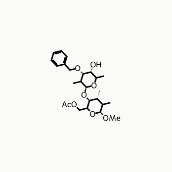 CO[C@H]1OC(COC(C)=O)[C@@H](O[C@@H]2OC(C)[C@@H](O)[C@@H](OCc3ccccc3)C2C)[C@H](C)C1C